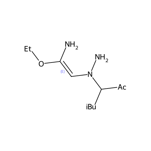 CCO/C(N)=C/N(N)C(C(C)=O)C(C)CC